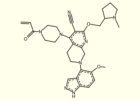 C=CC(=O)N1CCN(c2c(C#N)c(OCC3CCCN3C)nc3c2CCN(c2c(OC)ccc4[nH]ncc24)C3)CC1